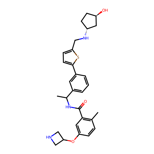 Cc1ccc(OC2CNC2)cc1C(=O)NC(C)c1cccc(-c2ccc(CN[C@@H]3CC[C@@H](O)C3)s2)c1